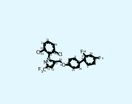 Fc1ccc(-c2ccc(OCc3cc(C(F)(F)F)nn3-c3c(Cl)cccc3Cl)cc2)c(F)c1